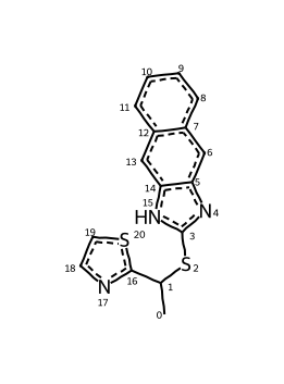 CC(Sc1nc2cc3ccccc3cc2[nH]1)c1nccs1